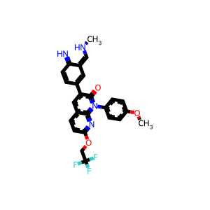 CN/C=C1/C=C(c2cc3ccc(OCC(F)(F)F)nc3n(-c3ccc(OC)cc3)c2=O)C=CC1=N